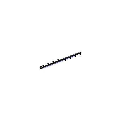 CC(C)=CCC/C(C)=C/C=C/C(C)=C/C=C/C(C)=C/C=C/C=C(C)/C=C/C=C(C)/C=C/C=C(C)/C=C/C=C(\C)C=O